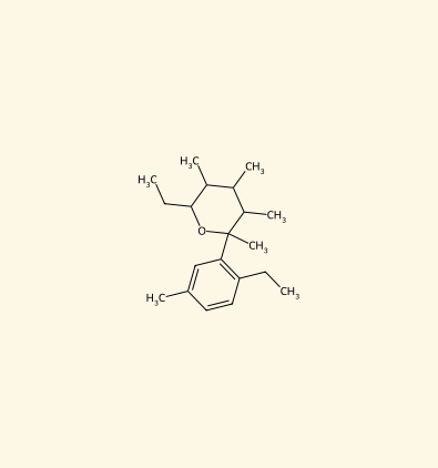 CCc1ccc(C)cc1C1(C)OC(CC)C(C)C(C)C1C